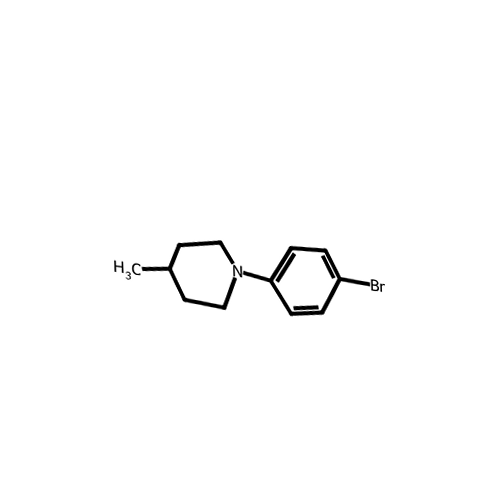 CC1CCN(c2ccc(Br)cc2)CC1